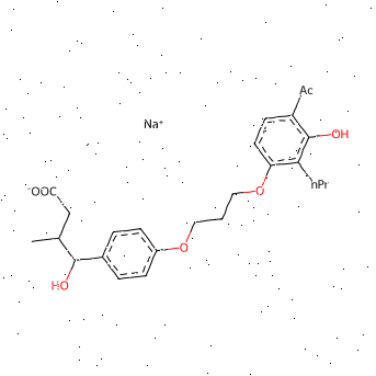 CCCc1c(OCCCOc2ccc(C(O)C(C)CC(=O)[O-])cc2)ccc(C(C)=O)c1O.[Na+]